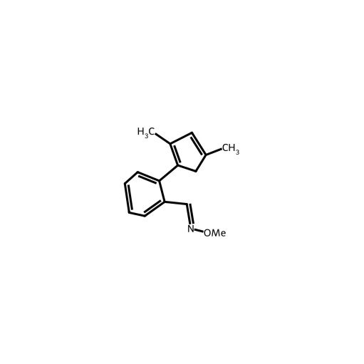 CON=Cc1ccccc1C1=C(C)C=C(C)C1